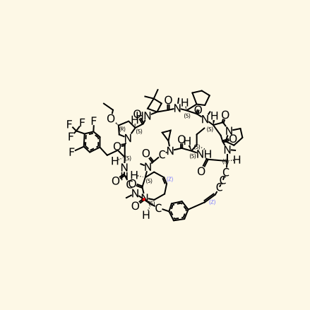 CCO[C@@H]1C[C@H]2C(=O)NC3(CC(C)(C)C3)C(=O)N(C)[C@@H](C3CCCC3)C(=O)N(C)[C@H](C(=O)N3CCCC3)CC(=O)N(C)[C@H]3CCC/C=C\c4ccc(cc4)C[C@@H](C(=O)N(C)CC(=O)N[C@@H](CCc4cc(F)c(C(F)(F)F)c(F)c4)C(=O)N2C1)N1CC/C=C\C[C@@H](C1=O)N(C)C(=O)CN(C1CC1)C(=O)[C@H]([C@@H](C)CC)NC3=O